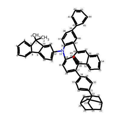 CC1(C)c2ccccc2-c2ccc(N(c3ccc(-c4ccc(C56CC7CC(CC(C7)C5)C6)cc4)cc3)c3ccc(-c4ccccc4)cc3-c3ccc4ccccc4c3)cc21